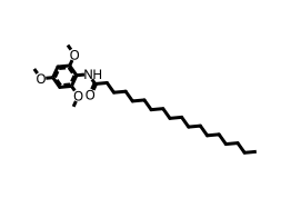 CCCCCCCCCCCCCCCCCC(=O)Nc1c(OC)cc(OC)cc1OC